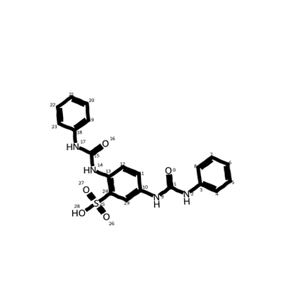 O=C(Nc1ccccc1)Nc1ccc(NC(=O)Nc2ccccc2)c(S(=O)(=O)O)c1